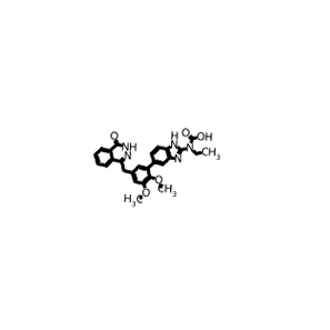 CCN(C(=O)O)c1nc2cc(-c3cc(Cc4n[nH]c(=O)c5ccccc45)cc(OC)c3OC)ccc2[nH]1